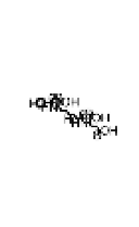 O=C(O)CCC(NC(=O)NCCCCC(NC(=O)c1ccc(I)cc1)C(=O)O)C(=O)O